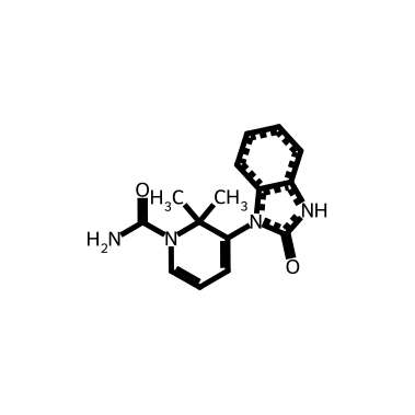 CC1(C)C(n2c(=O)[nH]c3ccccc32)=CC=CN1C(N)=O